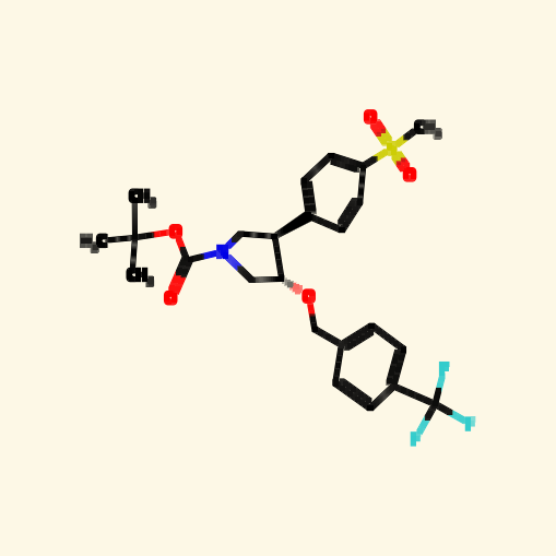 CC(C)(C)OC(=O)N1C[C@@H](OCc2ccc(C(F)(F)F)cc2)[C@H](c2ccc(S(C)(=O)=O)cc2)C1